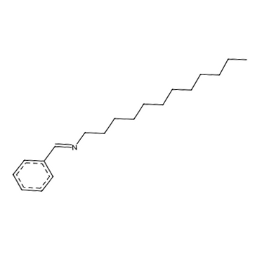 CCCCCCCCCCCCN=Cc1ccccc1